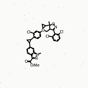 COC(=O)c1nn(C)c2cc(C3CC3c3ccc(OCC4C(c5c(Cl)cccc5Cl)=NOC4(C)C4CC4)cc3Cl)ccc12